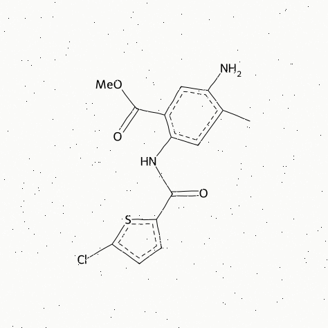 COC(=O)c1cc(N)c(C)cc1NC(=O)c1ccc(Cl)s1